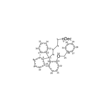 CCCCCCCCCCCCCCC(c1ccccc1)(c1ccccc1)c1ccccc1OCc1ccccc1